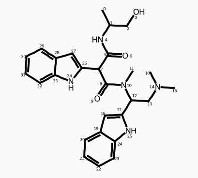 CC(CO)NC(=O)[C](C(=O)N(C)C(CN(C)C)c1cc2ccccc2[nH]1)c1cc2ccccc2[nH]1